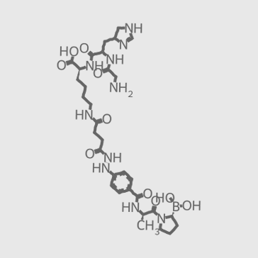 C[C@@H](NC(=O)c1ccc(NNC(=O)CCC(=O)NCCCC[C@H](NC(=O)C(CC2CNC=N2)NC(=O)CN)C(=O)O)cc1)C(=O)N1CCC[C@H]1B(O)O